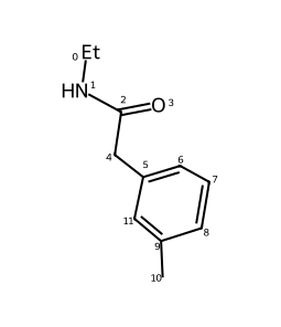 CCNC(=O)Cc1cccc(C)c1